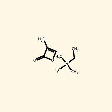 CC1=COC1=O.CC[N+](C)(C)C